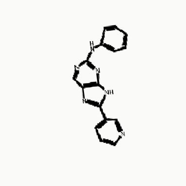 c1ccc(Nc2ncc3nc(-c4cccnc4)[nH]c3n2)cc1